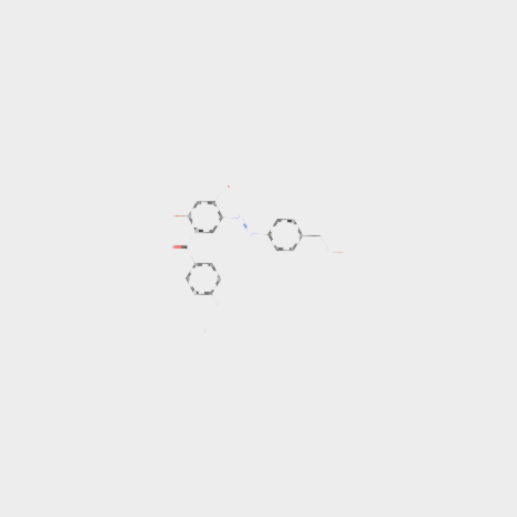 COc1ccc(C(=O)c2cc(N=Nc3ccc(CCO)cc3)c(O)cc2O)cc1